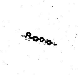 CCOc1ccc(C(=O)Nc2ccc(-c3ccc(C(=O)C4CCCC4C(=O)O)cc3)cc2)cc1